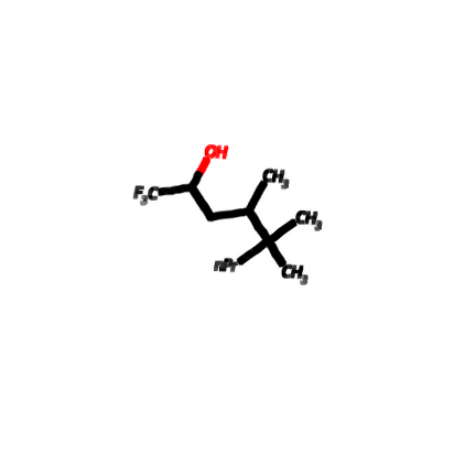 CCCC(C)(C)C(C)CC(O)C(F)(F)F